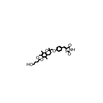 Cc1c(C)c2c(c(C)c1OC(=O)CCCO)CCC(C)(COc1ccc(/C=C3\SC(=O)NC3=O)cc1)O2